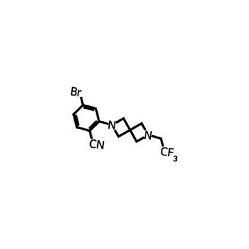 N#Cc1ccc(Br)cc1N1CC2(CN(CC(F)(F)F)C2)C1